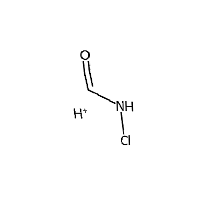 O=CNCl.[H+]